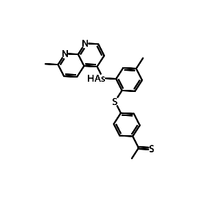 CC(=S)c1ccc(Sc2ccc(C)cc2[AsH]c2ccnc3nc(C)ccc23)cc1